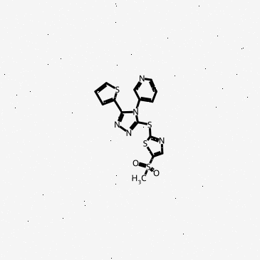 CS(=O)(=O)c1cnc(Sc2nnc(-c3cccs3)n2-c2cccnc2)s1